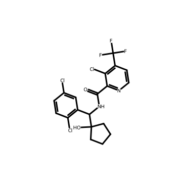 O=C(NC(c1cc(Cl)ccc1Cl)C1(O)CCCC1)c1nccc(C(F)(F)F)c1Cl